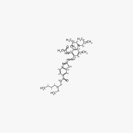 CCCCC(CC)COC(=O)c1ccc2nc(N=Nc3cc(C)c(N(CC(C)C)CC(C)C)cc3NC(C)=O)sc2c1